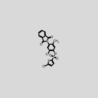 Cc1cc([N]S(=O)(=O)c2ccc(Cl)s2)c(Cl)cc1N1C(=O)c2ccccc2C1=O